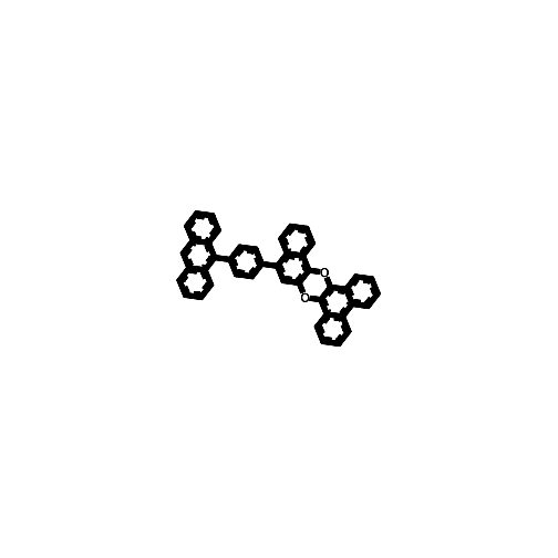 c1ccc2c(-c3ccc(-c4cc5c(c6ccccc46)Oc4c(c6ccccc6c6ccccc46)O5)cc3)c3ccccc3cc2c1